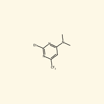 CCc1nc(N(C)C)cc(C(F)(F)F)n1